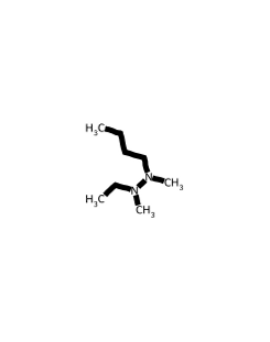 CCCCN(C)N(C)CC